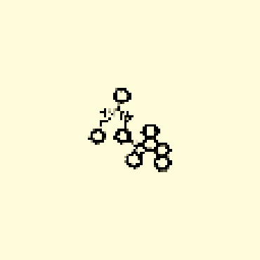 c1ccc(CCNC(c2ccccc2)N2CC2c2cccc(-n3c4ccccc4c4c5c6ccccc6ccc5c5ccccc5c43)c2)cc1